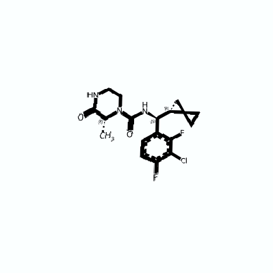 C[C@@H]1C(=O)NCCN1C(=O)N[C@H](c1ccc(F)c(Cl)c1F)[C@@H]1CC12CC2